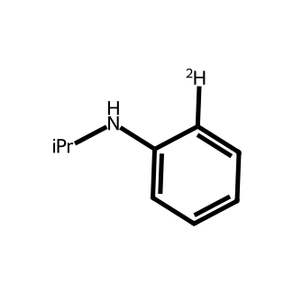 [2H]c1ccccc1NC(C)C